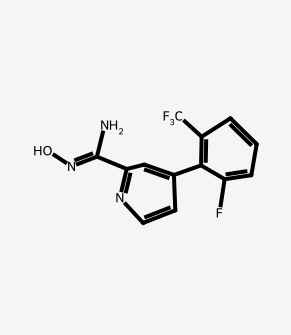 NC(=NO)c1cc(-c2c(F)cccc2C(F)(F)F)ccn1